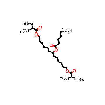 CCCCCCCCC(CCCCCC)C(=O)OCCCCCCC(CCCCCCOC(=O)C(CCCCCC)CCCCCCCC)OC(=O)CCCCC(=O)O